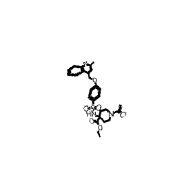 CCOC(=O)C1(NS(=O)(=O)c2ccc(OCc3cc(C)nc4ccccc34)cc2)CCN(C(C)=O)CC1